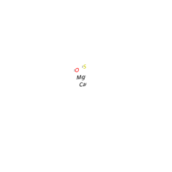 [Ca].[Mg].[O].[S]